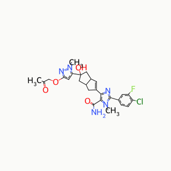 CC(=O)COc1cc(C2(O)CC3C=C(c4nc(-c5ccc(Cl)c(F)c5)n(C)c4C(N)=O)CC3C2)n(C)n1